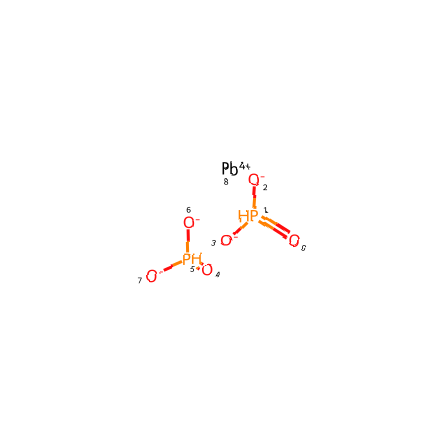 O=[PH]([O-])[O-].O=[PH]([O-])[O-].[Pb+4]